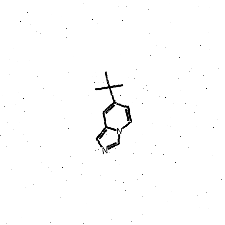 CC(C)(C)c1ccn2cncc2c1